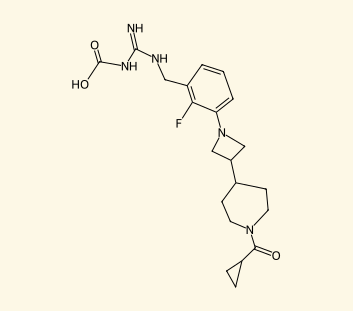 N=C(NCc1cccc(N2CC(C3CCN(C(=O)C4CC4)CC3)C2)c1F)NC(=O)O